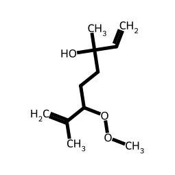 C=CC(C)(O)CCC(OOC)C(=C)C